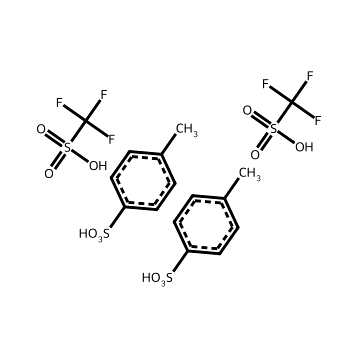 Cc1ccc(S(=O)(=O)O)cc1.Cc1ccc(S(=O)(=O)O)cc1.O=S(=O)(O)C(F)(F)F.O=S(=O)(O)C(F)(F)F